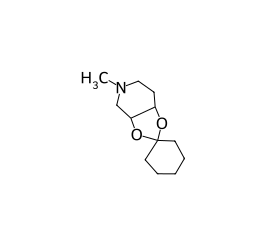 CN1CCC2OC3(CCCCC3)OC2C1